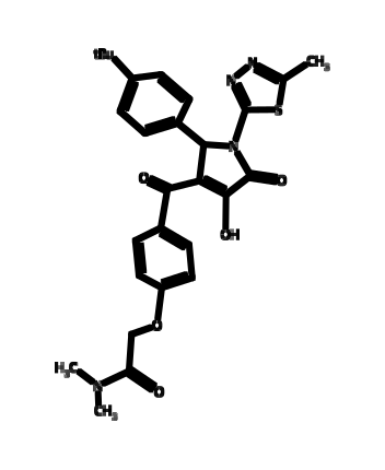 Cc1nnc(N2C(=O)C(O)=C(C(=O)c3ccc(OCC(=O)N(C)C)cc3)C2c2ccc(C(C)(C)C)cc2)s1